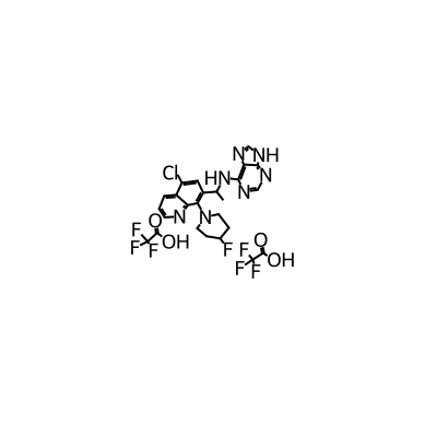 CC(Nc1ncnc2[nH]cnc12)c1cc(Cl)c2cccnc2c1N1CCC(F)CC1.O=C(O)C(F)(F)F.O=C(O)C(F)(F)F